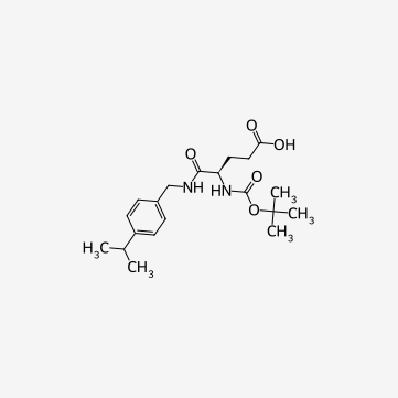 CC(C)c1ccc(CNC(=O)[C@@H](CCC(=O)O)NC(=O)OC(C)(C)C)cc1